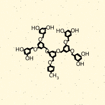 Cc1ccc(OCc2cc(OCc3cc(OCc4cc(O)cc(O)c4)cc(OCc4cc(O)cc(O)c4)c3)cc(OCc3cc(OCc4cc(O)cc(O)c4)cc(OCc4cc(O)cc(O)c4)c3)c2)cc1